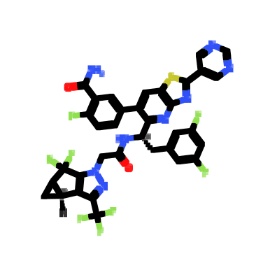 NC(=O)c1cc(-c2cc3sc(-c4cncnc4)nc3nc2[C@H](Cc2cc(F)cc(F)c2)NC(=O)Cn2nc(C(F)(F)F)c3c2C(F)(F)C2C[C@H]32)ccc1F